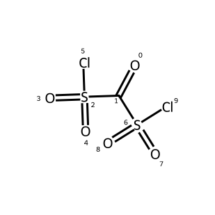 O=C(S(=O)(=O)Cl)S(=O)(=O)Cl